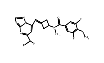 COc1c(F)cc(C(=O)N(C)C2CC(=Cc3cc(C(F)F)nc4ncnn34)C2)cc1F